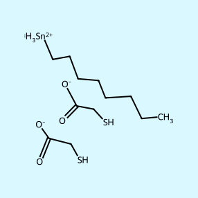 CCCCCCC[CH2][SnH3+2].O=C([O-])CS.O=C([O-])CS